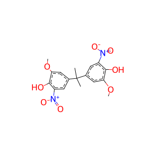 COc1cc(C(C)(C)c2cc(OC)c(O)c([N+](=O)[O-])c2)cc([N+](=O)[O-])c1O